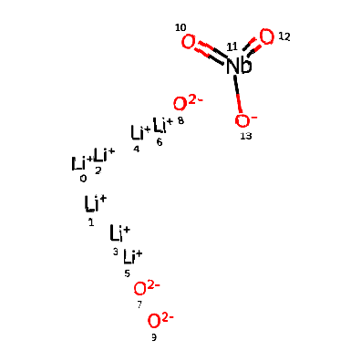 [Li+].[Li+].[Li+].[Li+].[Li+].[Li+].[Li+].[O-2].[O-2].[O-2].[O]=[Nb](=[O])[O-]